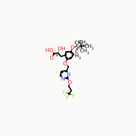 CC(C)(C)[Si](C)(C)Oc1ccc(OCc2ccnc(OCCC(F)(F)F)n2)c(C[C@@H](O)C(=O)O)c1